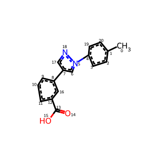 Cc1ccc(-n2cc(-c3cccc(C(=O)O)c3)cn2)cc1